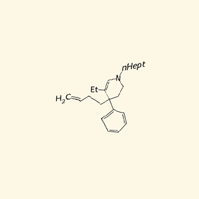 C=CCCC1(c2ccccc2)CCN(CCCCCCC)C=C1CC